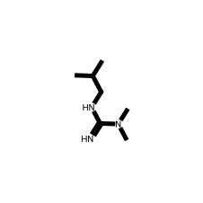 CC(C)CNC(=N)N(C)C